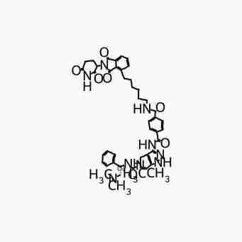 CN(C)C[C@@H](NC(=O)N1Cc2c(NC(=O)c3ccc(C(=O)NCCCCCCc4cccc5c4C(=O)N(C4CCC(=O)NC4=O)C5=O)cc3)n[nH]c2C1(C)C)c1ccccc1